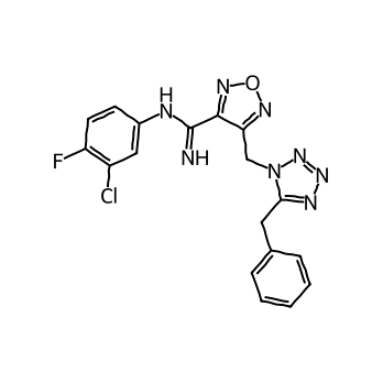 N=C(Nc1ccc(F)c(Cl)c1)c1nonc1Cn1nnnc1Cc1ccccc1